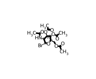 CC(=O)N[C@@H]1[C@@H](OC(C)=O)[C@H](OC(C)=O)[C@@H](COC(C)=O)O[C@@H]1Br